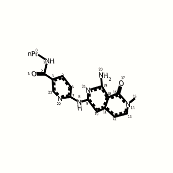 CCCNC(=O)c1ccc(Nc2cc3ccn(C)c(=O)c3c(N)n2)nc1